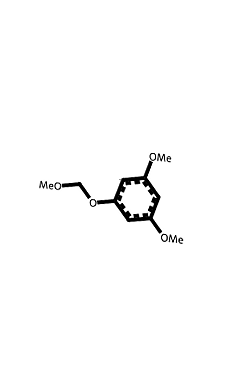 COCOc1[c]c(OC)cc(OC)c1